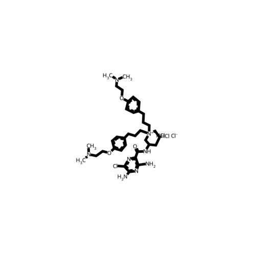 CN(C)CCOc1ccc(CCC[N+]2(CCCc3ccc(OCCN(C)C)cc3)CCCC(NC(=O)c3nc(Cl)c(N)nc3N)C2)cc1.Cl.Cl.[Cl-]